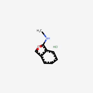 CNc1occ2ccccc12.Cl